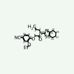 C=CCN(C(=O)COc1ccc(C#N)cc1OCC)c1nc2c(s1)CCCC2